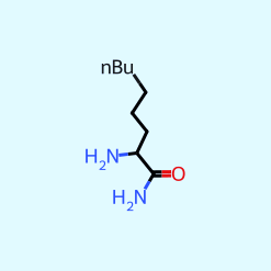 CCCCCCCC(N)C(N)=O